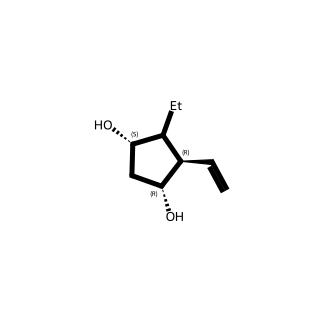 C=C[C@@H]1C(CC)[C@@H](O)C[C@H]1O